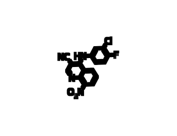 N#Cc1cnc2c([N+](=O)[O-])cccc2c1Nc1ccc(F)c(Cl)c1